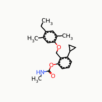 CCc1cc(C)c(OCc2c(OC(=O)NC)cccc2C2CC2)cc1C